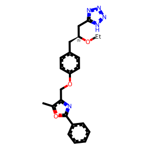 CCO[C@@H](Cc1ccc(OCc2nc(-c3ccccc3)oc2C)cc1)Cc1nnn[nH]1